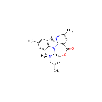 Cc1cc(C)c(N2c3ncc(C)cc3OC(=O)c3cc(C)cnc32)c(C)c1